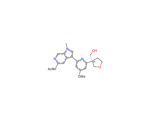 COc1cc(-c2cn(C)c3cnc(NC(C)=O)cc23)nc([C@@]2(CO)CCOC2)c1